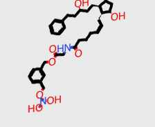 O=C(CCC/C=C\C[C@@H]1[C@@H](CC[C@@H](O)CCc2ccccc2)[C@H](O)C[C@@H]1O)NCC(=O)OCc1cccc(CON(O)O)c1